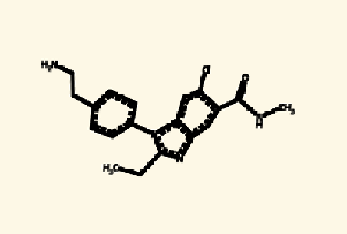 CCc1nc2cc(C(=O)NC)c(Cl)cc2n1-c1ccc(CCN)cc1